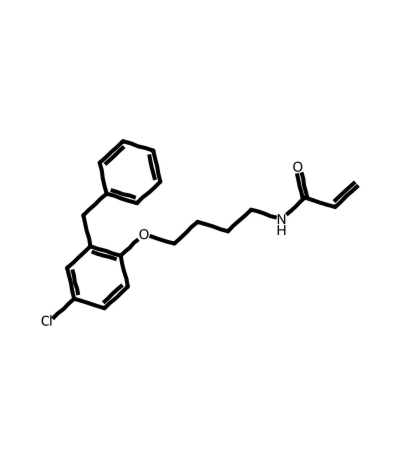 C=CC(=O)NCCCCOc1ccc(Cl)cc1Cc1ccccc1